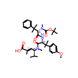 COc1ccc(C(C)(C)[C@H](NC(=O)[C@@H](N(C)C(=O)OC(C)(C)C)C(C)(C)c2ccccc2)C(=O)N(C)[C@H](/C=C(\C)C(=O)O)C(C)C)cc1